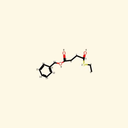 CCSC(=O)CCC(=O)OCc1ccccc1